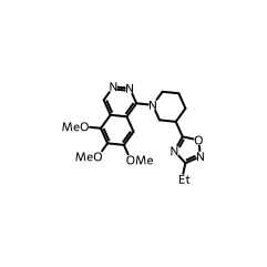 CCc1noc(C2CCCN(c3nncc4c(OC)c(OC)c(OC)cc34)C2)n1